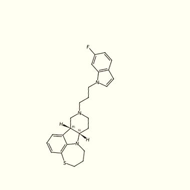 Fc1ccc2ccn(CCCN3CC[C@H]4[C@@H](C3)c3cccc5c3N4CCCS5)c2c1